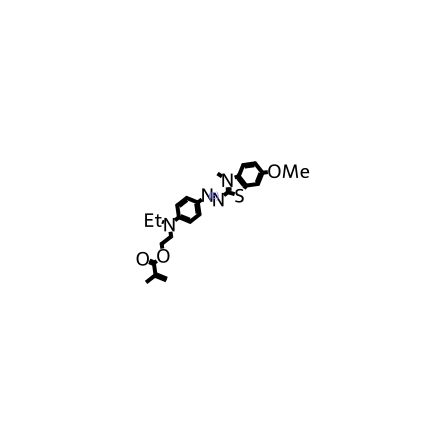 C=C(C)C(=O)OCCN(CC)c1ccc(/N=N/c2sc3cc(OC)ccc3[n+]2C)cc1